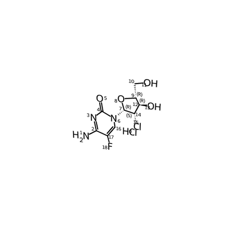 Cl.Nc1nc(=O)n([C@@H]2O[C@H](CO)[C@@H](O)[C@@H]2Cl)cc1F